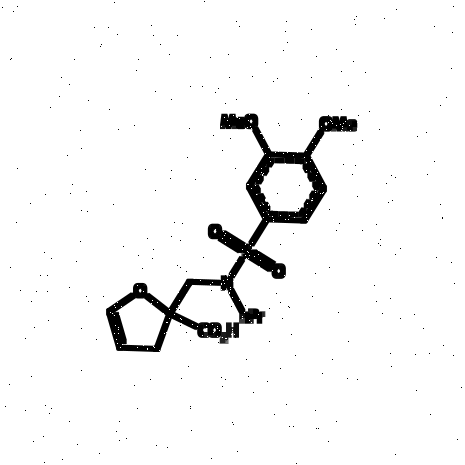 CCCN(CC1(C(=O)O)CC=CO1)S(=O)(=O)c1ccc(OC)c(OC)c1